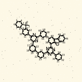 CC1(C)c2ccccc2-c2ccc(-c3cc(-c4cccc(-c5cccc(-c6nc(-c7ccccc7)nc(-c7cccc8c7oc7ccccc78)n6)c5)c4)nc(-c4ccccc4)n3)cc21